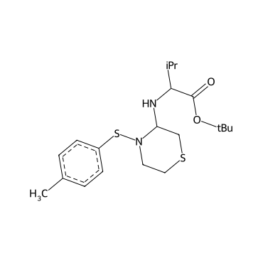 Cc1ccc(SN2CCSCC2NC(C(=O)OC(C)(C)C)C(C)C)cc1